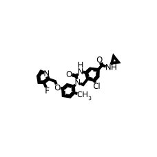 Cc1ccc(OCc2ncccc2F)cc1N1Cc2c(Cl)cc(C(=O)NC3CC3)cc2NC1=O